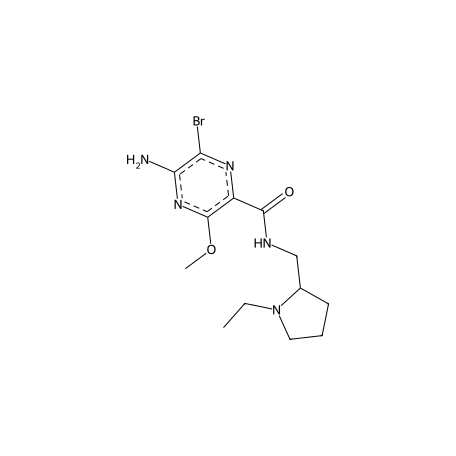 CCN1CCCC1CNC(=O)c1nc(Br)c(N)nc1OC